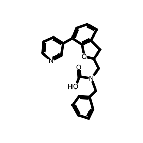 O=C(O)N(Cc1ccccc1)CC1Cc2cccc(-c3cccnc3)c2O1